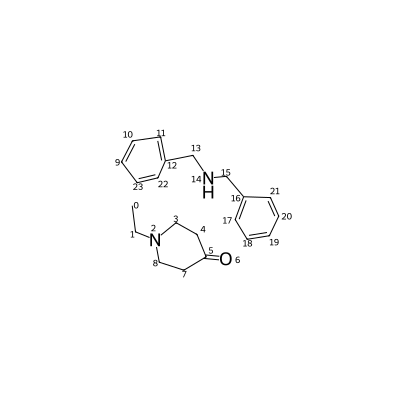 CCN1CCC(=O)CC1.c1ccc(CNCc2ccccc2)cc1